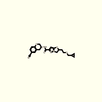 N#Cc1ccc2c(c1)C[C@@H](NC(=O)c1cc3n(n1)CC(CCOCC1CC1)O3)CO2